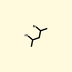 CC(S)CC(C)Br